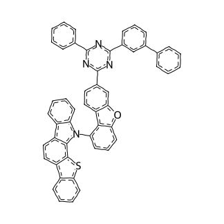 c1ccc(-c2cccc(-c3nc(-c4ccccc4)nc(-c4ccc5c(c4)oc4cccc(-n6c7ccccc7c7ccc8c9ccccc9sc8c76)c45)n3)c2)cc1